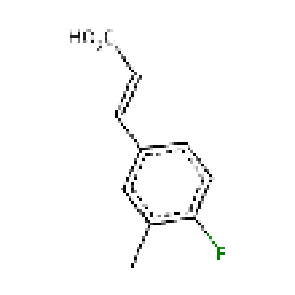 Cc1cc(C=CC(=O)O)ccc1F